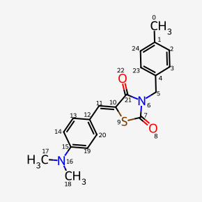 Cc1ccc(CN2C(=O)S/C(=C\c3ccc(N(C)C)cc3)C2=O)cc1